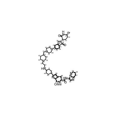 COc1cc2nn(C3CCC(NCCN4CCC(CN5CCN(c6ccc7c(c6)CN(C6CCC(=O)NC6=O)C7=O)CC5)CC4)CC3)cc2cc1C(=O)Nc1cnc2cccnn12